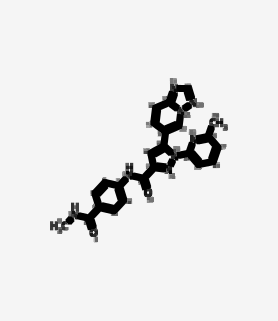 CNC(=O)c1ccc(NC(=O)c2cc(-c3ccc4ncnn4c3)n(-c3cccc(C)n3)n2)cc1